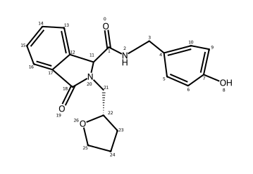 O=C(NCc1ccc(O)cc1)C1c2ccccc2C(=O)N1C[C@@H]1CCCO1